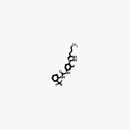 CCCCC1=CN(c2ccc(NC(=O)Nc3ccccc3C(F)(F)F)cc2F)NN1